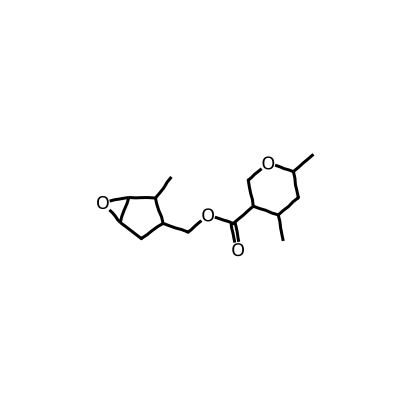 CC1CC(C)C(C(=O)OCC2CC3OC3C2C)CO1